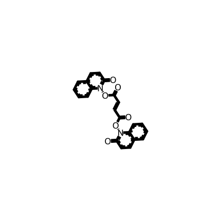 O=C(/C=C/C(=O)On1c(=O)ccc2ccccc21)On1c(=O)ccc2ccccc21